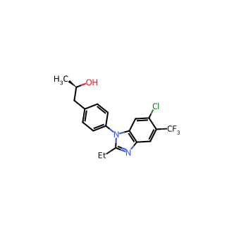 CCc1nc2cc(C(F)(F)F)c(Cl)cc2n1-c1ccc(C[C@@H](C)O)cc1